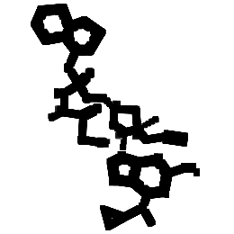 C#CC[C@]1(C)C[C@@H](COP(=O)(N[C@H](C)C(=O)OC(C)C)Oc2cccc3ccccc23)O[C@H]1n1cnc2c(N(C)C3CC3)nc(N)nc21